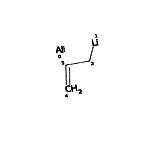 [Al].[Li][CH2]C=C